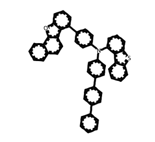 c1ccc(-c2ccc(-c3ccc(N(c4ccc(-c5cccc6oc7c8ccccc8ccc7c56)cc4)c4cccc5sc6ccccc6c45)cc3)cc2)cc1